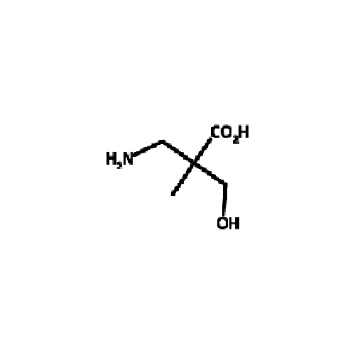 CC(CN)(CO)C(=O)O